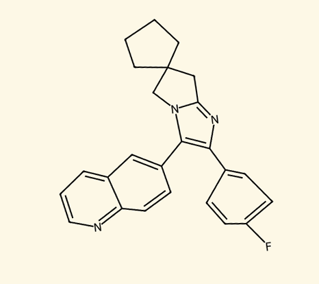 Fc1ccc(-c2nc3n(c2-c2ccc4ncccc4c2)CC2(CCCC2)C3)cc1